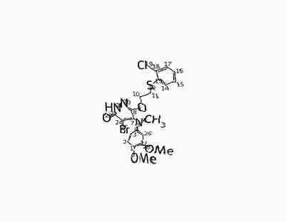 COc1ccc(N(C)c2c(OCCSc3ccccc3Cl)n[nH]c(=O)c2Br)cc1OC